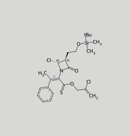 C=C(Cl)COC(=S)/C(=C(/C)c1ccccc1)N1C(=O)[C@H](CCO[Si](C)(C)C(C)(C)C)[C@H]1Cl